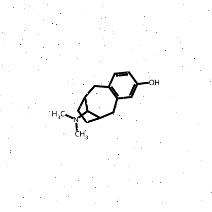 CN(C)C1C2CCC1Cc1cc(O)ccc1C2